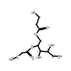 O=C(CCS)OCC(OC(=O)CCS)C(S)C(S)CS